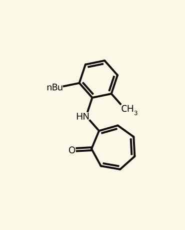 CCCCc1cccc(C)c1Nc1cccccc1=O